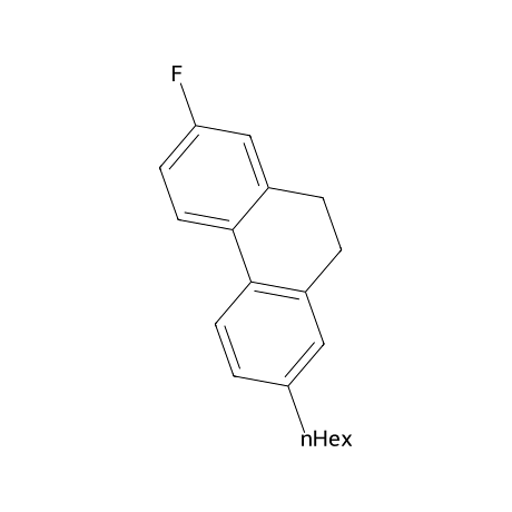 CCCCCCc1ccc2c(c1)CCc1cc(F)ccc1-2